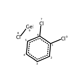 Clc1ccccc1Cl.[Cl][Ge]